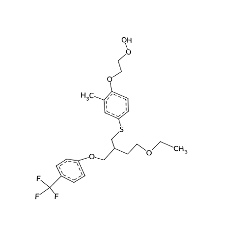 CCOCCC(COc1ccc(C(F)(F)F)cc1)CSc1ccc(OCCOO)c(C)c1